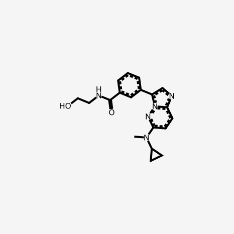 CN(c1ccc2ncc(-c3cccc(C(=O)NCCO)c3)n2n1)C1CC1